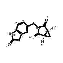 O=C1Cc2cc(CN3C(=O)[C@H]4C[C@H]4C3=O)ccc2N1